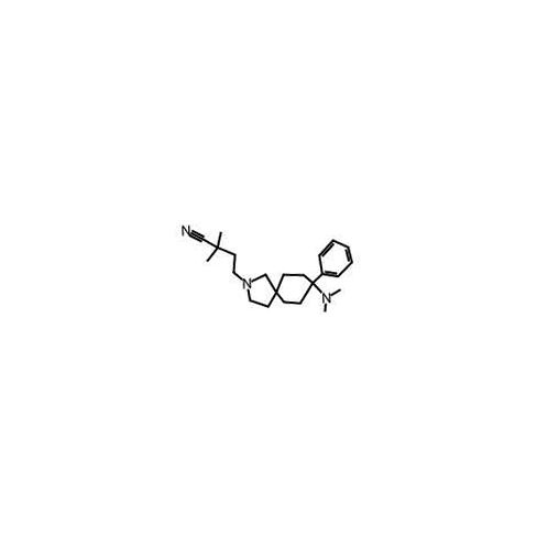 CN(C)C1(c2ccccc2)CCC2(CCN(CCC(C)(C)C#N)C2)CC1